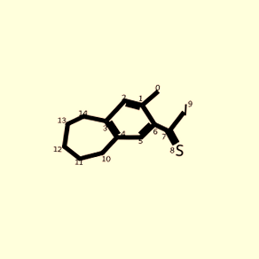 Cc1cc2c(cc1C(=S)I)CCCCC2